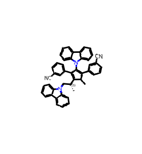 CC1C(c2cccc(C#N)c2)=C(n2c3ccccc3c3ccccc32)C(c2cccc(C#N)c2)=C1[C@H](C)Cn1c2ccccc2c2ccccc21